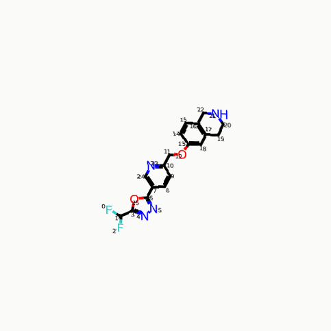 FC(F)c1nnc(-c2ccc(COc3ccc4c(c3)CCNC4)nc2)o1